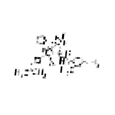 Cc1ccc(NC(=O)C[C@H](CC(OCc2ccccc2)C(F)(F)F)c2nnc([C@H]3C[C@@H](CC(C)C)C3)n2C2CC2)c(C)c1